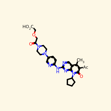 CC(=O)c1c(C)c2cnc(Nc3ccc(N4CCN(C(=O)COCC(=O)O)CC4)cn3)nc2n(C2CCCC2)c1=O